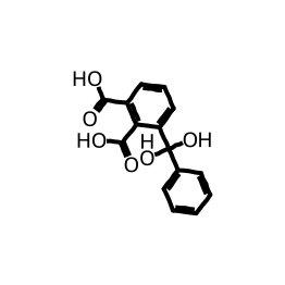 O=C(O)c1cccc(C(O)(O)c2ccccc2)c1C(=O)O